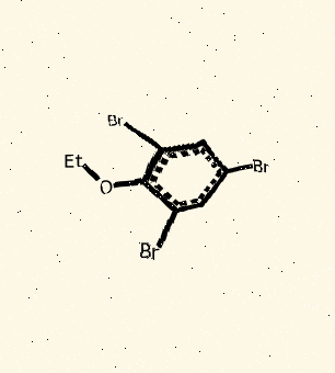 CCOc1c(Br)cc(Br)cc1Br